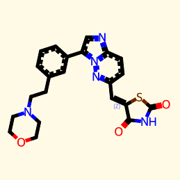 O=C1NC(=O)/C(=C/c2ccc3ncc(-c4cccc(CCN5CCOCC5)c4)n3n2)S1